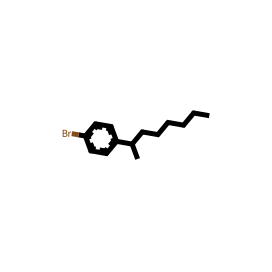 CCCCCCC(C)c1ccc(Br)cc1